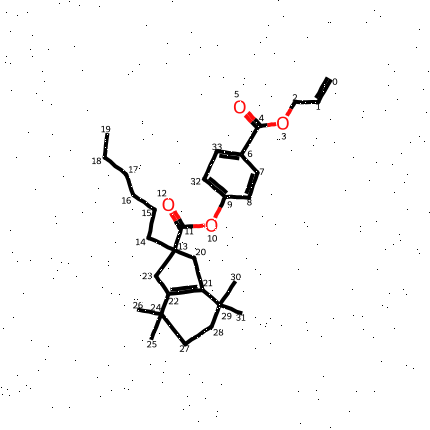 C=CCOC(=O)c1ccc(OC(=O)C2(CCCCCC)CC3=C(C2)C(C)(C)CCC3(C)C)cc1